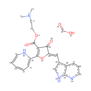 CN(C)CCOC(=O)C1=C(C2=CC=CC=CN2)OC(=Cc2c[nH]c3ncccc23)C1=O.O=CO